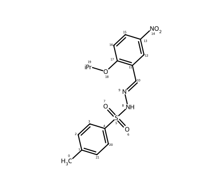 Cc1ccc(S(=O)(=O)N/N=C/c2cc([N+](=O)[O-])ccc2OC(C)C)cc1